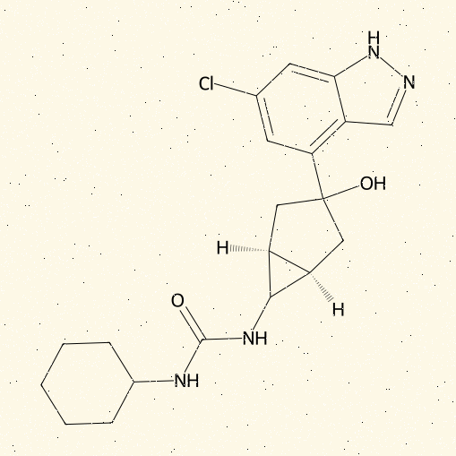 O=C(NC1CCCCC1)NC1[C@H]2CC(O)(c3cc(Cl)cc4[nH]ncc34)C[C@@H]12